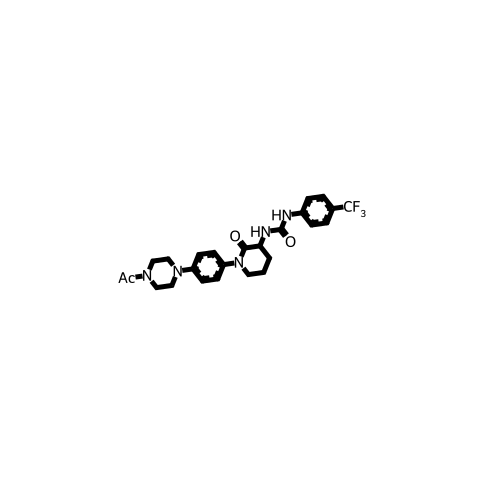 CC(=O)N1CCN(c2ccc(N3CCCC(NC(=O)Nc4ccc(C(F)(F)F)cc4)C3=O)cc2)CC1